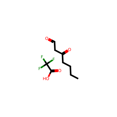 CCCCC(=O)CC=O.O=C(O)C(F)(F)F